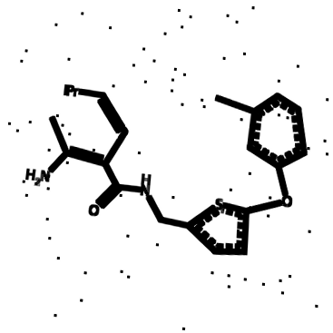 C/C(N)=C(\C=C/C(C)C)C(=O)NCc1ccc(Oc2cccc(C)c2)s1